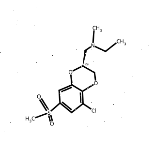 CCN(C)C[C@H]1COc2c(Cl)cc(S(C)(=O)=O)cc2O1